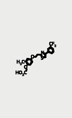 Cc1cc(OCCc2nc(-c3cccc(C(F)(F)F)c3)cs2)ccc1OCC(=O)O